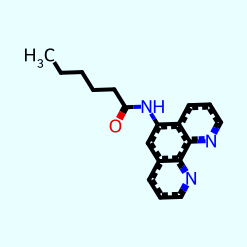 CCCCCC(=O)Nc1cc2cccnc2c2ncccc12